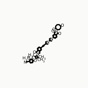 Cc1cc(O[C@H]2C(C)(C)[C@H](N3Cc4cc(C#CC5CN(C6CN(c7ccc8c(c7)C(=O)N(C7CCC(=O)CCCC7=O)C8=O)C6)C5)ccc4C3=O)C2(C)C)ccc1C#N